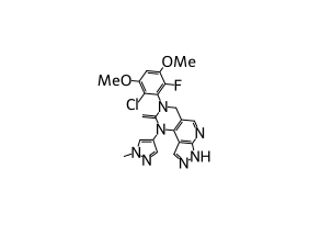 C=C1N(c2c(F)c(OC)cc(OC)c2Cl)Cc2cnc3[nH]ncc3c2N1c1cnn(C)c1